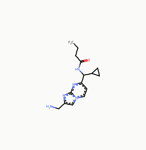 NCc1cn2ccc(C(NC(=O)CCC(F)(F)F)C3CC3)nc2n1